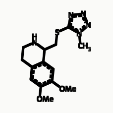 COc1cc2c(cc1OC)C(CSc1nnnn1C)NCC2